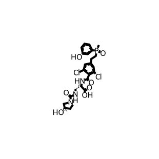 CP(=O)(CCc1cc(Cl)c(C(=O)N[C@@H](CNC(=O)N2CC[C@H](O)C2)C(=O)O)c(Cl)c1)c1cccc(O)c1